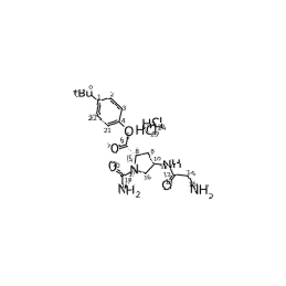 CC(C)(C)c1ccc(OC(=O)[C@@H]2CC(NC(=O)CN)CN2C(N)=O)cc1.Cl.Cl